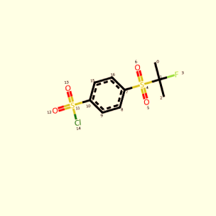 CC(C)(F)S(=O)(=O)c1ccc(S(=O)(=O)Cl)cc1